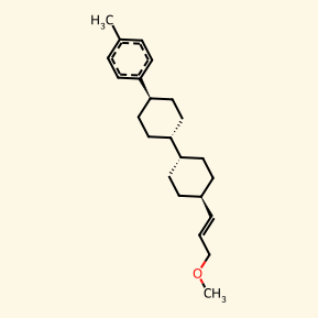 COCC=C[C@H]1CC[C@H]([C@H]2CC[C@H](c3ccc(C)cc3)CC2)CC1